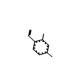 Bc1ccc(C=O)c(F)c1